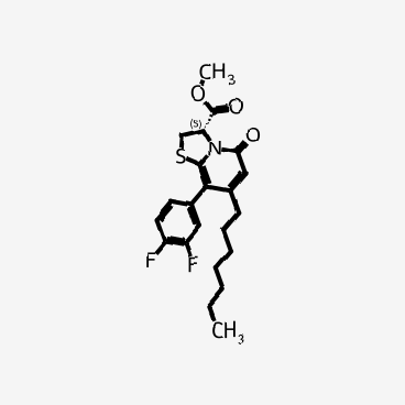 CCCCCCCc1cc(=O)n2c(c1-c1ccc(F)c(F)c1)SC[C@@H]2C(=O)OC